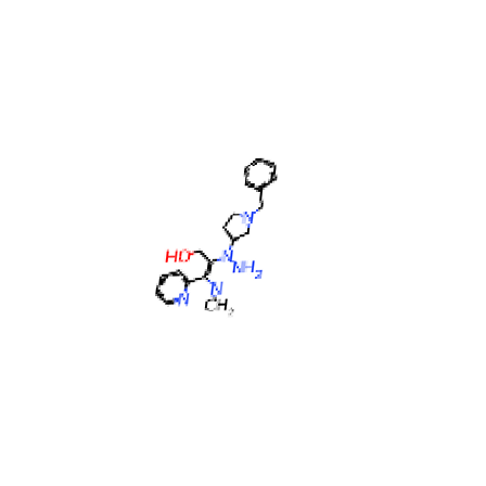 C=N/C(=C(/CO)N(N)C1CCN(Cc2ccccc2)C1)c1ccccn1